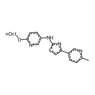 CCCCCCCCOc1ccc(Nc2nc(-c3ccc(C)nc3)cs2)cn1